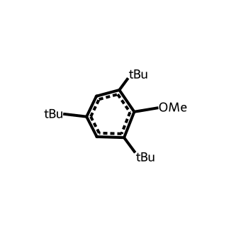 COc1c(C(C)(C)C)cc(C(C)(C)C)cc1C(C)(C)C